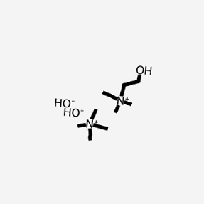 C[N+](C)(C)C.C[N+](C)(C)CCO.[OH-].[OH-]